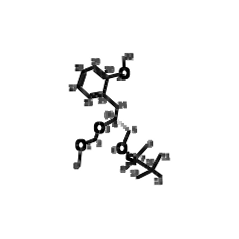 COCO[C@@H](CO[Si](C)(C)C(C)(C)C)Cc1ccccc1OC